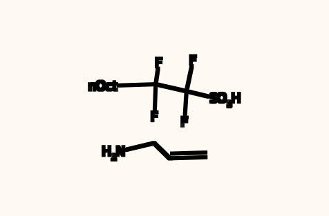 C=CCN.CCCCCCCCC(F)(F)C(F)(F)S(=O)(=O)O